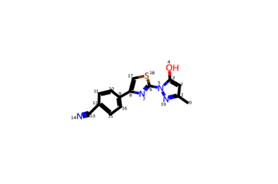 Cc1cc(O)n(-c2nc(-c3ccc(C#N)cc3)cs2)n1